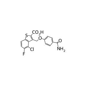 NC(=O)c1ccc(OCc2c(C(=O)O)sc3ccc(F)c(Cl)c23)cc1